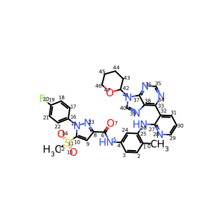 Cc1ccc(NC(=O)c2cc(S(C)(=O)=O)n(-c3ccc(F)cc3)n2)cc1Nc1ncccc1-c1ncnc2c1ncn2C1CCCCO1